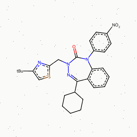 CC(C)(C)c1csc(CN2N=C(C3CCCCC3)c3ccccc3N(c3ccc([N+](=O)[O-])cc3)C2=O)n1